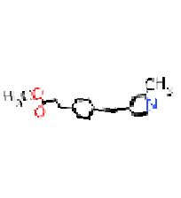 COC(=O)CCc1ccc(C#Cc2ccnc(C)c2)cc1